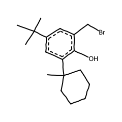 CC(C)(C)c1cc(CBr)c(O)c(C2(C)CCCCC2)c1